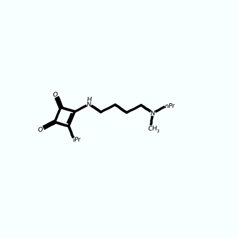 CCCN(C)CCCCNc1c(C(C)C)c(=O)c1=O